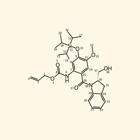 C=CCOC(=O)Nc1cc(O[Si](C(C)C)(C(C)C)C(C)C)c(OC)cc1C(=O)N1c2ccccc2C[C@H]1CO